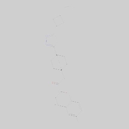 O=C(NC12CCC(c3nnc([C@H]4C[C@@H](OC(F)(F)F)C4)o3)(CC1)CC2)[C@H]1C[C@@H](O)c2cc(Cl)ccc2O1